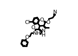 CC1=C(C(=O)NCCOc2ccccc2)C(c2cccc(Cl)c2)C(C(=O)OCCC#N)=C(C)N1